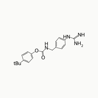 CC(C)(C)c1ccc(OC(=O)NCc2ccc(NC(=N)N)cc2)cc1